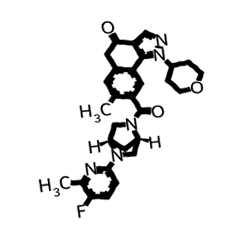 Cc1cc2c(cc1C(=O)N1C[C@@H]3C[C@H]1CN3c1ccc(F)c(C)n1)-c1c(cnn1C1CCOCC1)C(=O)C2